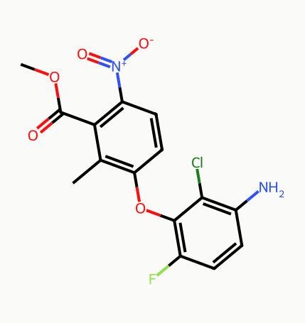 COC(=O)c1c([N+](=O)[O-])ccc(Oc2c(F)ccc(N)c2Cl)c1C